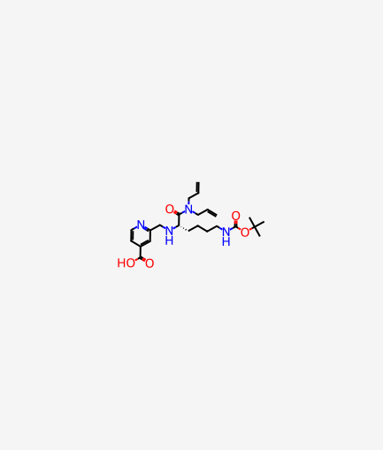 C=CCN(CC=C)C(=O)[C@H](CCCCNC(=O)OC(C)(C)C)NCc1cc(C(=O)O)ccn1